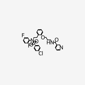 O=C(NCCCOc1ccccc1CCN(c1cc(F)ccc1F)S(=O)(=O)c1ccc(Cl)cc1)c1cccnc1